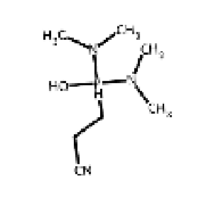 CN(C)[PH](O)(CCC#N)N(C)C